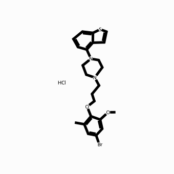 COc1cc(Br)cc(C)c1OCCCN1CCN(c2cccc3sccc23)CC1.Cl